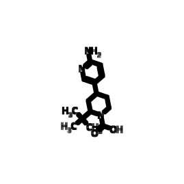 CC(C)(C)C1CC(c2ccc(N)nc2)CCN1C(=O)O